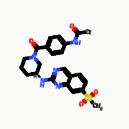 CCC(=O)Nc1ccc(C(=O)N2CCC[C@@H](Nc3ncc4ccc(S(C)(=O)=O)cc4n3)C2)cc1